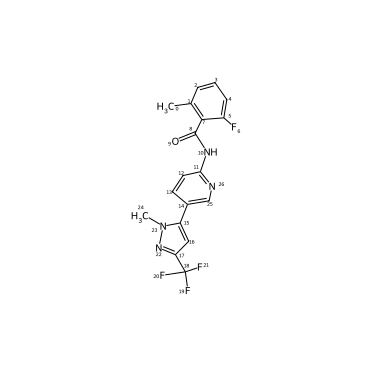 Cc1cccc(F)c1C(=O)Nc1ccc(-c2cc(C(F)(F)F)nn2C)cn1